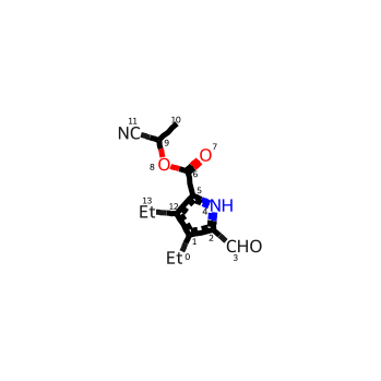 CCc1c(C=O)[nH]c(C(=O)OC(C)C#N)c1CC